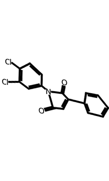 O=C1C=C(c2ccccc2)C(=O)N1c1ccc(Cl)c(Cl)c1